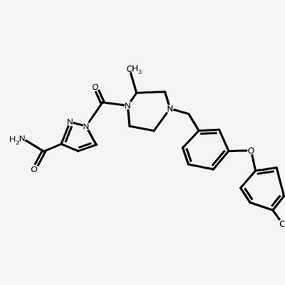 CC1CN(Cc2cccc(Oc3ccc(Cl)cc3)c2)CCN1C(=O)n1ccc(C(N)=O)n1